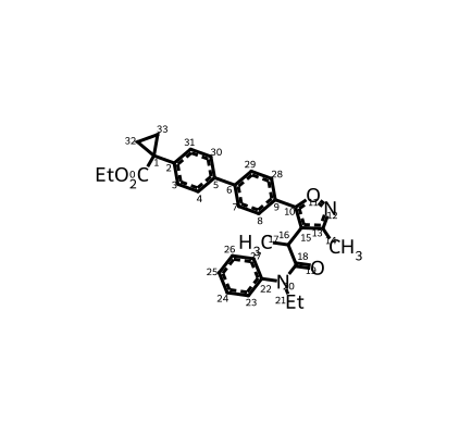 CCOC(=O)C1(c2ccc(-c3ccc(-c4onc(C)c4C(C)C(=O)N(CC)c4ccccc4)cc3)cc2)CC1